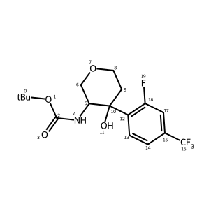 CC(C)(C)OC(=O)NC1COCCC1(O)c1ccc(C(F)(F)F)cc1F